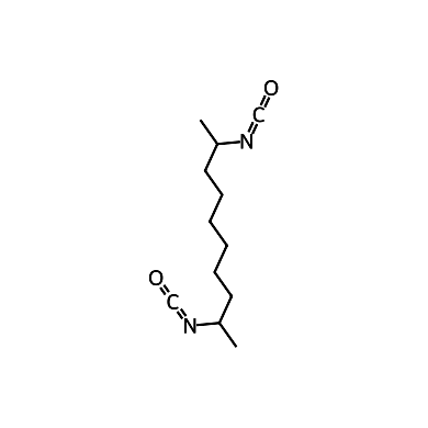 CC(CCCCCCC(C)N=C=O)N=C=O